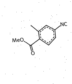 [C-]#[N+]c1ccc(C(=O)OC)c(C)c1